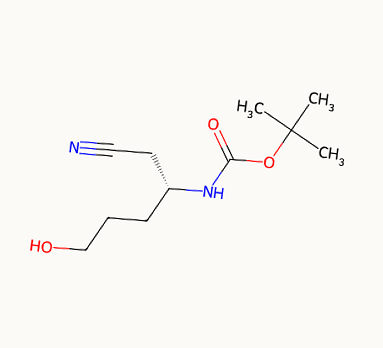 CC(C)(C)OC(=O)N[C@@H](CC#N)CCCO